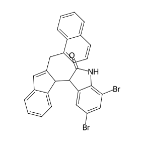 O=C1Nc2c(Br)cc(Br)cc2C1C1C(Cc2cccc3ccccc23)=Cc2ccccc21